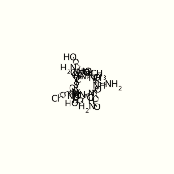 C[C@@H](O)[C@@H]1NC(=O)[C@H](CCCCN)NC(=O)[C@@H](Cc2ccc(C(N)=O)cc2)NC(=O)[C@H](Cc2ccc(O)cc2)NC(=O)[C@@H](NC(=O)[C@@H](N)Cc2ccc(Cl)cc2)CSSC[C@@H](C(=O)NC(Cc2ccc(O)cc2)C(N)=O)NC1=O